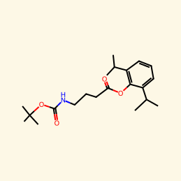 CC(C)c1cccc(C(C)C)c1OC(=O)CCCNC(=O)OC(C)(C)C